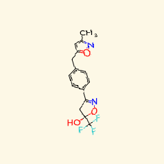 Cc1cc(Cc2ccc(C3=NOC(O)(C(F)(F)F)C3)cc2)on1